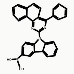 OB(O)c1ccc2c(c1)c1ccccc1n2-c1nc(-c2ccccc2)c2ccc3ccccc3c2n1